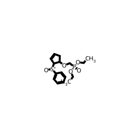 CCOP(=O)(COC1CC=CC1[S+]([O-])c1ccccc1)OCC